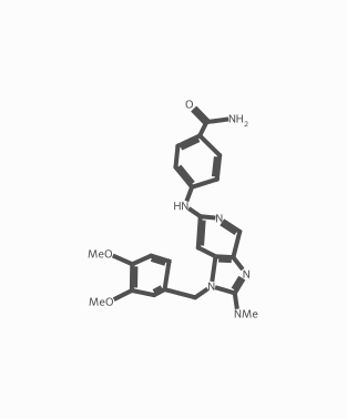 CNc1nc2cnc(Nc3ccc(C(N)=O)cc3)cc2n1Cc1ccc(OC)c(OC)c1